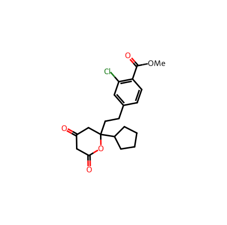 COC(=O)c1ccc(CCC2(C3CCCC3)CC(=O)CC(=O)O2)cc1Cl